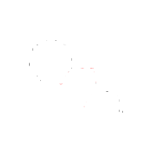 C=CC(=O)OC1CCCCCO1